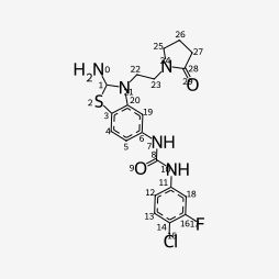 NC1Sc2ccc(NC(=O)Nc3ccc(Cl)c(F)c3)cc2N1CCN1CCCC1=O